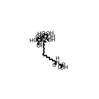 CC(CCCCCC/C=C\CCCCCCCC(=O)NCCS(=O)(=O)O)OC1OC(CO)C(O)C(O)C1OC1OC(CO)C(O)C(O)C1O